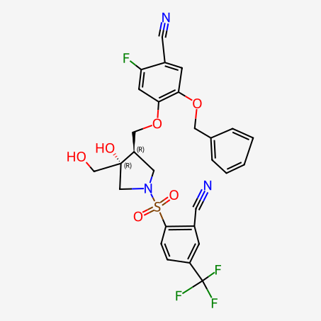 N#Cc1cc(OCc2ccccc2)c(OC[C@H]2CN(S(=O)(=O)c3ccc(C(F)(F)F)cc3C#N)C[C@@]2(O)CO)cc1F